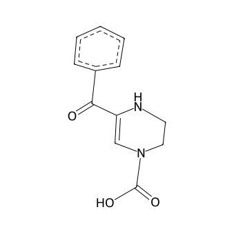 O=C(C1=CN(C(=O)O)CCN1)c1ccccc1